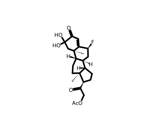 CC(=O)OCC(=O)[C@@H]1CC[C@H]2[C@@H]3C[C@H](F)C4=CC(=O)C(O)(O)C[C@]4(C)[C@H]3CC[C@]12C